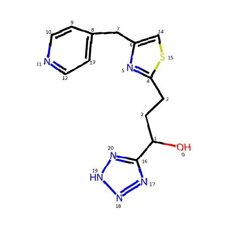 OC(CCc1nc(Cc2ccncc2)cs1)c1nn[nH]n1